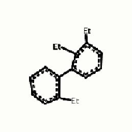 CCc1ccccc1-c1cccc(CC)c1CC